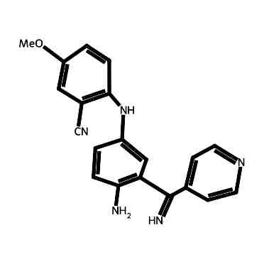 COc1ccc(Nc2ccc(N)c(C(=N)c3ccncc3)c2)c(C#N)c1